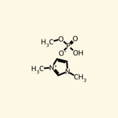 COP(=O)([O-])O.Cn1cc[n+](C)c1